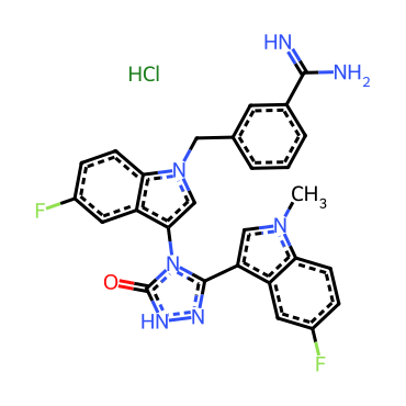 Cl.Cn1cc(-c2n[nH]c(=O)n2-c2cn(Cc3cccc(C(=N)N)c3)c3ccc(F)cc23)c2cc(F)ccc21